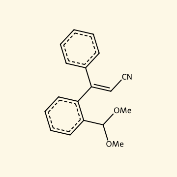 COC(OC)c1ccccc1C(=CC#N)c1ccccc1